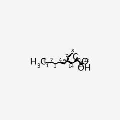 CCCC/C=C/c1cccc(C(=O)O)c1